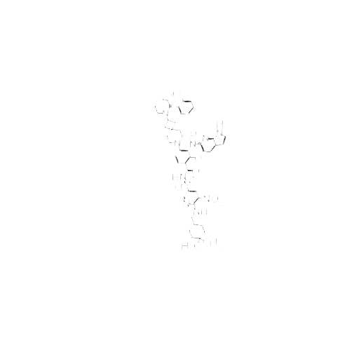 CC(C)c1ccccc1[C@@H]1COCCN1C1CC2(CCN(c3ccc(C(=O)NS(=O)(=O)c4cnc(NCC5CCC(C)(C)CC5)c([N+](=O)[O-])c4)c(Oc4cc5cc[nH]c5nc4N)c3)CC2)C1